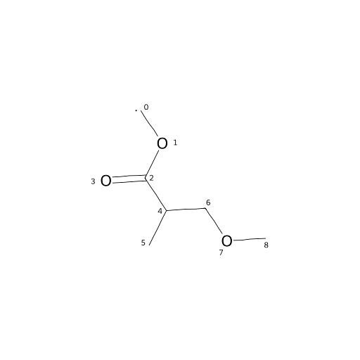 [CH2]OC(=O)C(C)COC